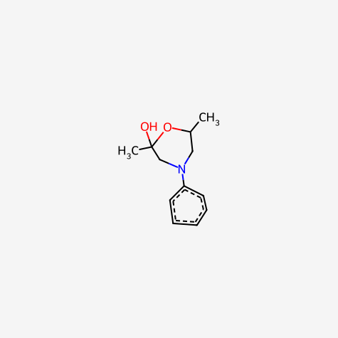 CC1CN(c2ccccc2)CC(C)(O)O1